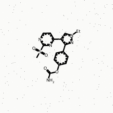 CCn1cc(-c2ccnc(S(C)(=O)=O)n2)c(-c2ccc(OC(N)=O)cc2)n1